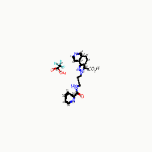 O=C(NCCCn1nc2c(c1C(=O)O)CCc1cnccc1-2)c1ccccn1.O=C(O)C(F)(F)F